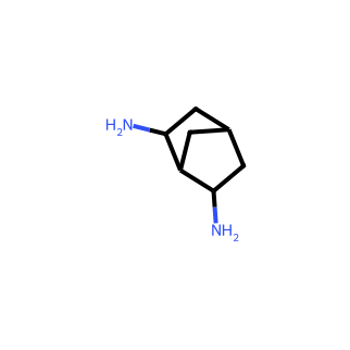 NC1CC2CC(N)C1C2